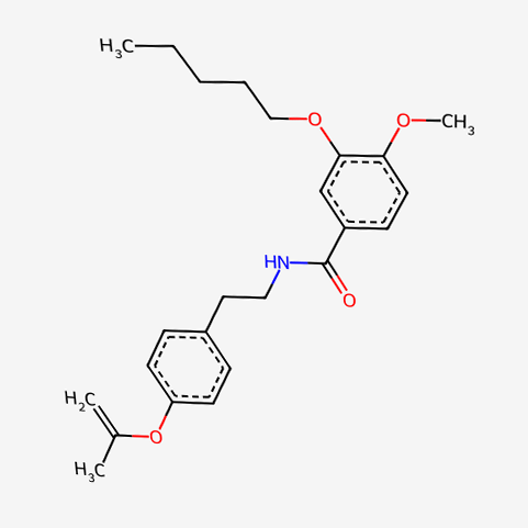 C=C(C)Oc1ccc(CCNC(=O)c2ccc(OC)c(OCCCCC)c2)cc1